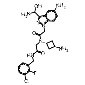 Nc1ccc2c(c1)c(C(N)O)nn2CC(=O)N(CC(=O)NCc1cccc(Cl)c1F)[C@H]1C[C@H](N)C1